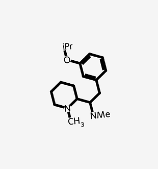 CNC(Cc1cccc(OC(C)C)c1)C1CCCCN1C